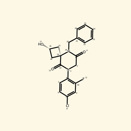 O=C1CN(c2ccc(Cl)cc2F)C(=O)[C@]2(C[C@@H](O)C2)N1Cc1ccccc1